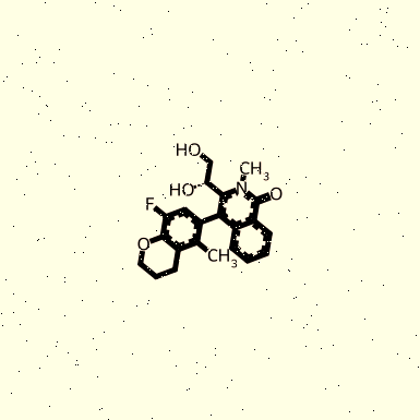 Cc1c(-c2c([C@H](O)CO)n(C)c(=O)c3ccccc23)cc(F)c2c1CCCO2